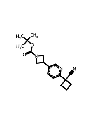 CC(C)(C)OC(=O)N1CC(c2ccc(C3(C#N)CCC3)nc2)C1